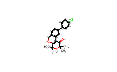 CC1(C)OC(C)(C)C2=C(C1=O)c1cc(-c3ccc(Cl)cc3)ccc1CO2